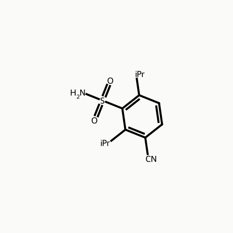 CC(C)c1ccc(C#N)c(C(C)C)c1S(N)(=O)=O